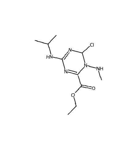 CCOC(=O)C1=NC(NC(C)C)=NC(Cl)N1NC